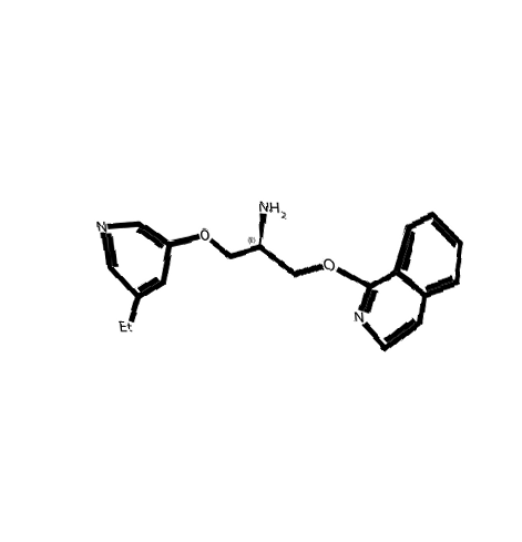 CCc1cncc(OC[C@@H](N)COc2nccc3ccccc23)c1